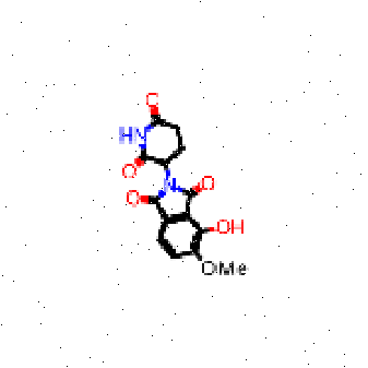 COc1ccc2c(c1O)C(=O)N(C1CCC(=O)NC1=O)C2=O